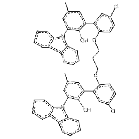 Cc1cc(-c2cc(Cl)ccc2OCCCOc2ccc(Cl)cc2-c2cc(C)cc(-n3c4ccccc4c4ccccc43)c2O)c(O)c(-n2c3ccccc3c3ccccc32)c1